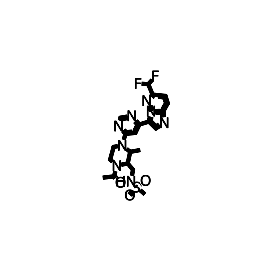 CC(=O)N1CCN(c2cc(-c3cnc4ccc(C(F)F)nn34)ncn2)C(C)C1CNS(C)(=O)=O